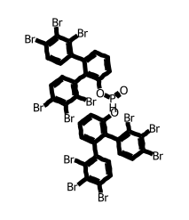 O=[PH](Oc1cccc(-c2ccc(Br)c(Br)c2Br)c1-c1ccc(Br)c(Br)c1Br)Oc1cccc(-c2ccc(Br)c(Br)c2Br)c1-c1ccc(Br)c(Br)c1Br